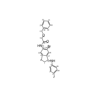 Cc1ccc(NC2CCc3cc(NC(=O)COCc4ccccc4)c(Br)cc32)cc1